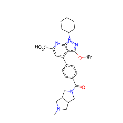 CC(C)Oc1nn(C2CCCCC2)c2nc(C(=O)O)cc(-c3ccc(C(=O)N4CC5CN(C)CC5C4)cc3)c12